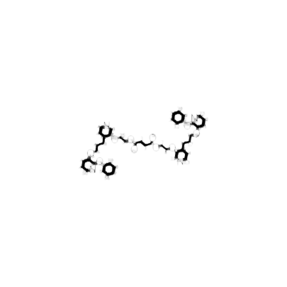 O=C(/C=C/C(=O)OCCOc1cnccc1CCCOc1cccnc1Oc1ccccc1)OCCOc1cnccc1CCCOc1cccnc1Oc1ccccc1